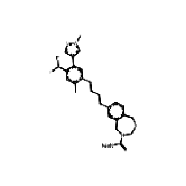 C=C(NC)N1CCCc2ccc(CCCCc3cc(-c4cnn(C)c4)c(C(F)F)cc3C)cc2C1